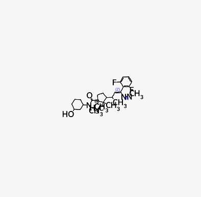 C/N=N\C(=C/C(C)C1CC[C@](C)(C(=O)N(C)C2CCCC(O)C2)C1(C)C)c1c(F)cccc1F